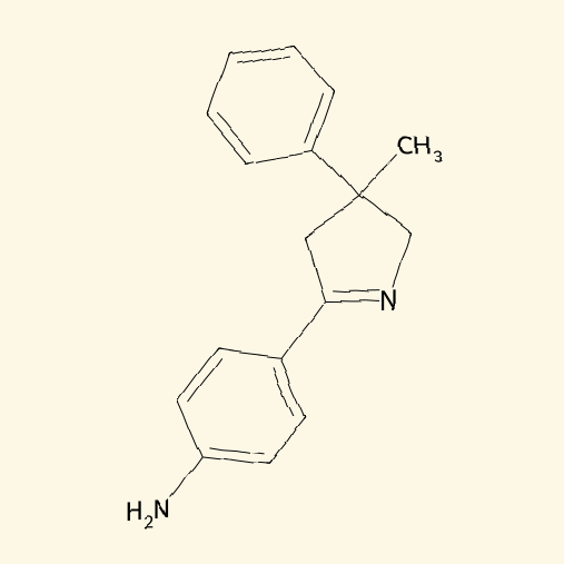 CC1(c2ccccc2)CN=C(c2ccc(N)cc2)C1